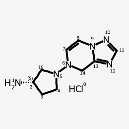 Cl.N[C@H]1CCN(N2C=Cn3ncnc3C2)C1